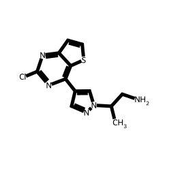 CC(CN)n1cc(-c2nc(Cl)nc3ccsc23)cn1